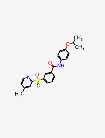 Cc1ccnc(S(=O)(=O)c2cccc(C(=O)Nc3ccc(OC(C)C)cc3)c2)c1